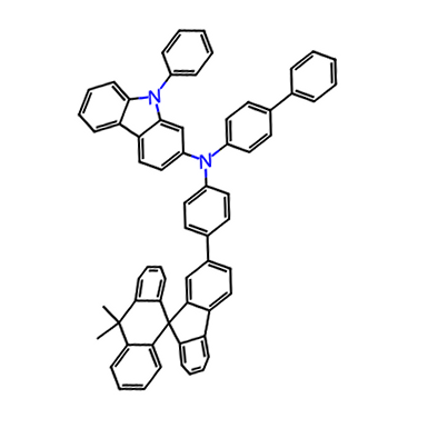 CC1(C)c2ccccc2C2(c3ccccc3-c3ccc(-c4ccc(N(c5ccc(-c6ccccc6)cc5)c5ccc6c7ccccc7n(-c7ccccc7)c6c5)cc4)cc32)c2ccccc21